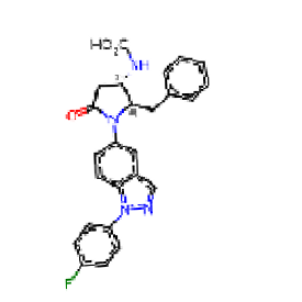 O=C(O)N[C@H]1CC(=O)N(c2ccc3c(cnn3-c3ccc(F)cc3)c2)[C@@H]1Cc1ccccc1